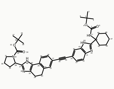 CC(C)(C)OC(=O)NC1(c2nc3ccc(C#Cc4ccc5c(c4)CCc4nc(C6CCCN6C(=O)OC(C)(C)C)[nH]c4-5)cc3[nH]2)CCCCC1